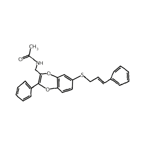 CC(=O)NCC1=C(c2ccccc2)Oc2ccc(SCC=Cc3ccccc3)cc2O1